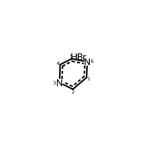 Br.c1cnccn1